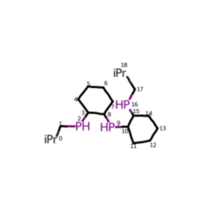 CC(C)CPC1CCCCC1PC1CCCCC1PCC(C)C